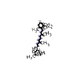 CNC(=O)[C@H](CS)NC/C=C(C)/C=C/C=C(C)/C=C/C1=C(C)CCCC1(C)C